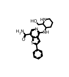 NC(=O)c1cnc(NC2CCCNC2CO)c2cc(-c3ccccc3)sc12